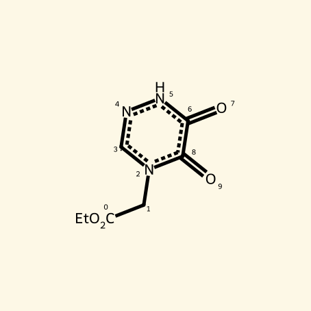 CCOC(=O)Cn1[c]n[nH]c(=O)c1=O